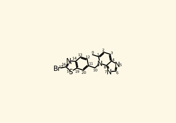 Cc1ccc2ncnc-2n1Cc1ccc2nc(Br)sc2c1